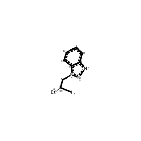 CC[C@@H](I)Cn1nnc2ccccc21